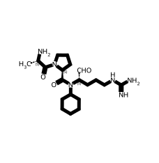 C[C@H](N)C(=O)N1CCC[C@H]1C(=O)N(C1CCCCC1)[C@H](C=O)CCCNC(=N)N